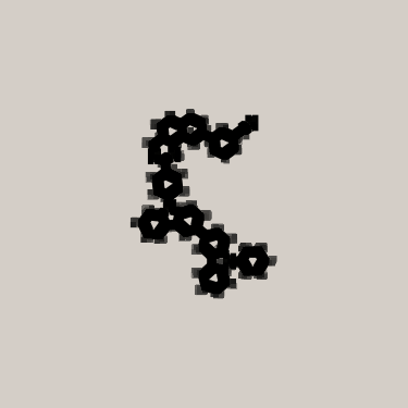 N#Cc1cccc(-c2ccc3ccc4cnc(-c5ccc(-n6c7ccccc7c7cc(-c8ccc9c(c8)c8ccccc8n9-c8ccccc8)ccc76)cc5)nc4c3c2)c1